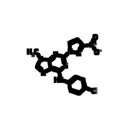 Cn1cnc2c(Nc3ccc(Cl)cc3)nc(-n3ccc([N+](=O)[O-])n3)nc21